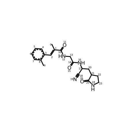 C/C(=C\c1ccccc1C)C(=O)NCC(=O)NC(C#N)CC1CCNC1=O